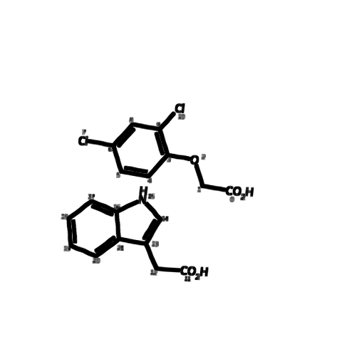 O=C(O)COc1ccc(Cl)cc1Cl.O=C(O)Cc1c[nH]c2ccccc12